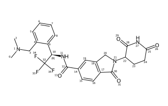 CN(C)Cc1ccccc1[C@@H](NC(=O)c1ccc2c(c1)CN(C1CCC(=O)NC1=O)C2=O)C(F)(F)F